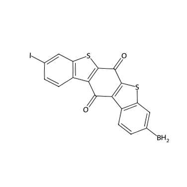 Bc1ccc2c3c(sc2c1)C(=O)c1sc2cc(I)ccc2c1C3=O